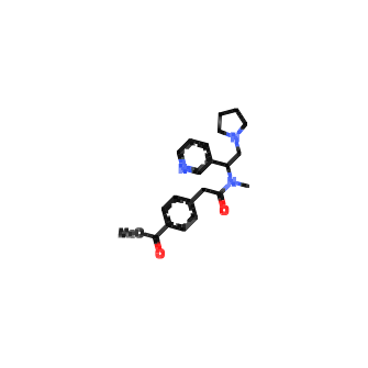 COC(=O)c1ccc(CC(=O)N(C)C(CN2CCCC2)c2cccnc2)cc1